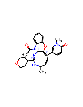 C=C1/C=C\C(c2ccc(=O)n(C)c2)=C(\Oc2ccccc2NC(C)=O)C/N=C(/C2CCOCC2)N1